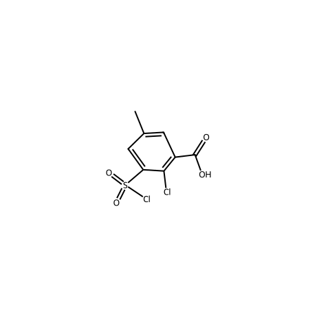 Cc1cc(C(=O)O)c(Cl)c(S(=O)(=O)Cl)c1